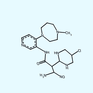 CN1CCCN(c2ccncc2NC(=O)C(C(N)N=O)C2NCC(Cl)CN2)CC1